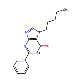 CCCCCn1cnc2nc(-c3ccccc3)[nH]c(=O)c21